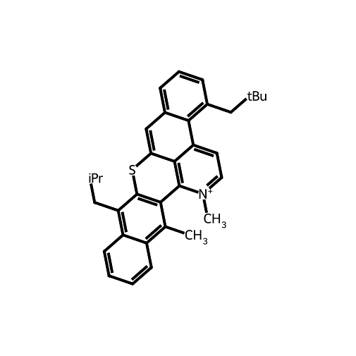 Cc1c2c(c(CC(C)C)c3ccccc13)Sc1cc3cccc(CC(C)(C)C)c3c3cc[n+](C)c-2c13